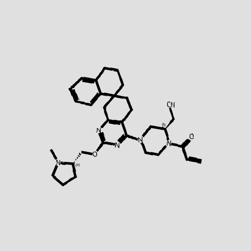 C=CC(=O)N1CCN(c2nc(OC[C@@H]3CCCN3C)nc3c2CCC2(CCCc4ccccc42)C3)C[C@H]1CC#N